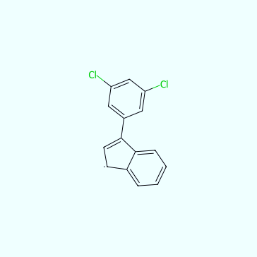 Clc1cc(Cl)cc(C2=C[CH]c3ccccc32)c1